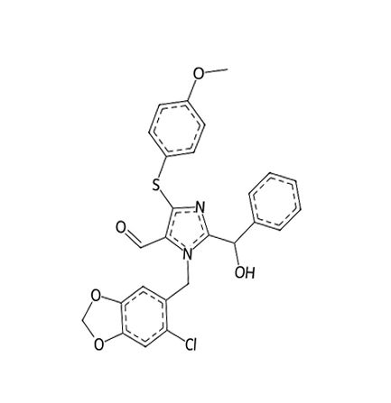 COc1ccc(Sc2nc(C(O)c3ccccc3)n(Cc3cc4c(cc3Cl)OCO4)c2C=O)cc1